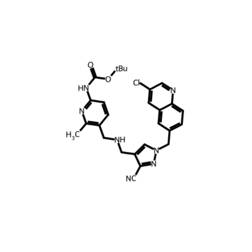 Cc1nc(NC(=O)OC(C)(C)C)ccc1CNCc1cn(Cc2ccc3ncc(Cl)cc3c2)nc1C#N